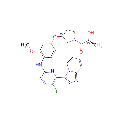 COc1cc(O[C@H]2CCN(C(=O)[C@H](C)O)C2)ccc1Nc1ncc(Cl)c(-c2cnc3ccccn23)n1